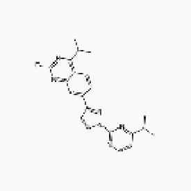 CC(C)c1ccnc(-n2ccc(-c3ccc4c(C(C)C)nc(F)nc4c3)n2)n1